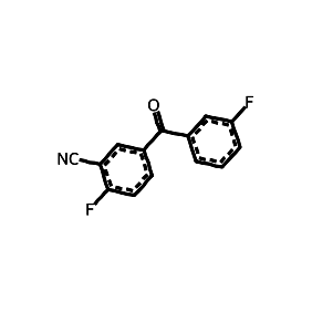 N#Cc1cc(C(=O)c2cccc(F)c2)ccc1F